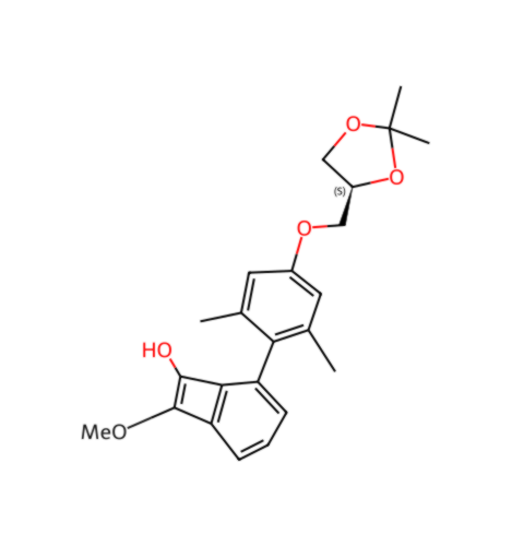 COC1=C(O)c2c1cccc2-c1c(C)cc(OC[C@H]2COC(C)(C)O2)cc1C